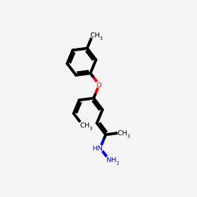 C\C=C/C(=C\C=C(/C)NN)Oc1cccc(C)c1